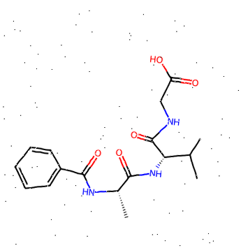 CC(C)[C@H](NC(=O)[C@H](C)NC(=O)c1ccccc1)C(=O)NCC(=O)O